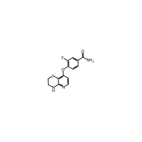 NC(=O)c1ccc(Oc2ccnc3c2SCCN3)c(F)c1